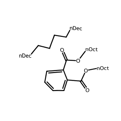 CCCCCCCCCCCCCCCCCCCCCCCC.CCCCCCCCOC(=O)c1ccccc1C(=O)OCCCCCCCC